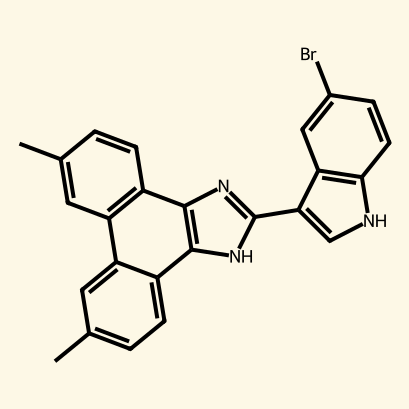 Cc1ccc2c(c1)c1cc(C)ccc1c1[nH]c(-c3c[nH]c4ccc(Br)cc34)nc21